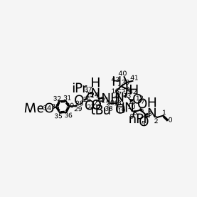 C=CCNC(=O)C(=O)C(CCC)NC(=O)[C@@H]1[C@@H]2[C@H](CN1C(=O)[C@@H](NC(=O)N[C@H](C(=O)OCc1ccc(OC)cc1)C(C)C)C(C)(C)C)C2(C)C